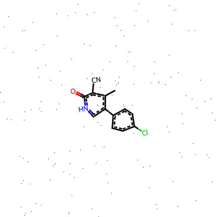 Cc1c(-c2ccc(Cl)cc2)c[nH]c(=O)c1C#N